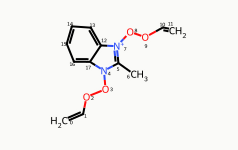 C=COOn1c(C)[n+](OOC=C)c2ccccc21